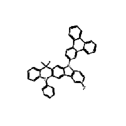 CC1(C)c2ccccc2N(c2ccccc2)c2cc3c4cc(F)ccc4n(-c4ccc5c6ccccc6c6ccccc6c5c4)c3cc21